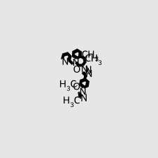 COc1cc(-c2cn(C3CC(C)(C)c4ccccc4N(Cc4ccccn4)C3=O)nn2)ccc1-n1cnc(C)c1